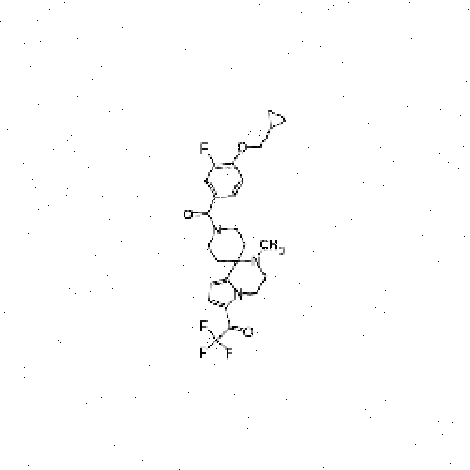 CN1CCn2c(C(=O)C(F)(F)F)ccc2C12CCN(C(=O)c1ccc(OCC3CC3)c(F)c1)CC2